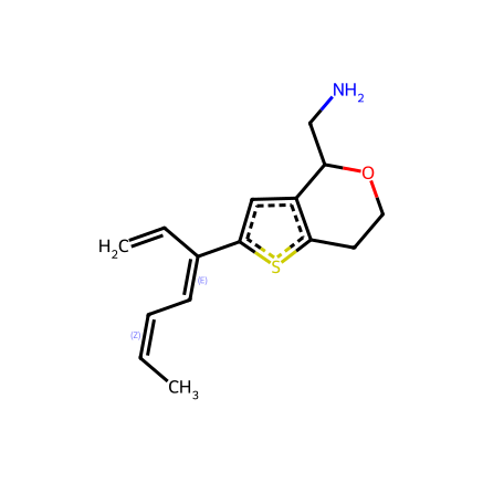 C=C/C(=C\C=C/C)c1cc2c(s1)CCOC2CN